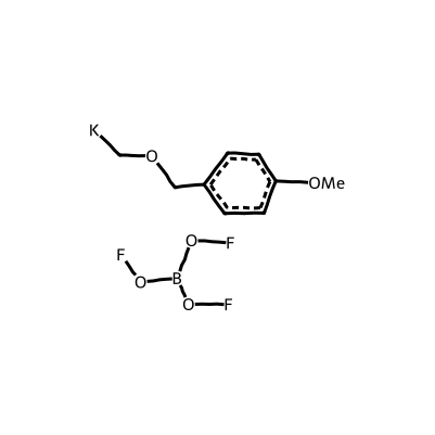 COc1ccc(CO[CH2][K])cc1.FOB(OF)OF